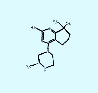 C[C@H]1CN(c2nc(N)nc3c2CCCC3(C)C)CCN1